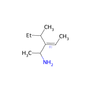 C/C=C(/C(C)N)C(C)CC